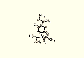 CC(C)Oc1cc(Cl)c(C(C)CN)cc1OC(C)C